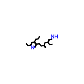 C=C(CCc1cnc(CC)cc1CCC)C/C(=C/C=N)CC